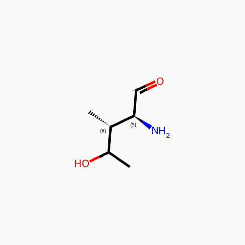 CC(O)[C@H](C)[C@H](N)[C]=O